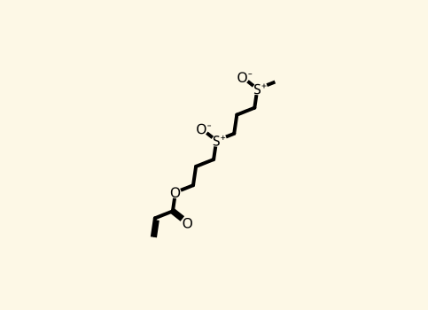 C=CC(=O)OCCC[S+]([O-])CCC[S+](C)[O-]